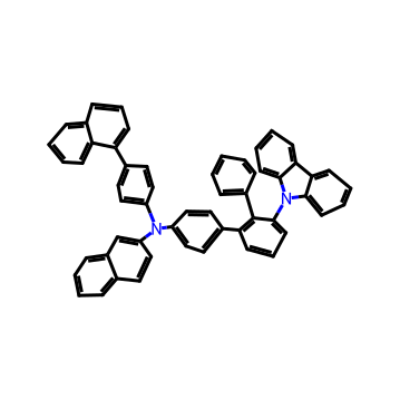 c1ccc(-c2c(-c3ccc(N(c4ccc(-c5cccc6ccccc56)cc4)c4ccc5ccccc5c4)cc3)cccc2-n2c3ccccc3c3ccccc32)cc1